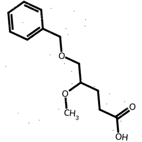 COC(CCC(=O)O)COCc1ccccc1